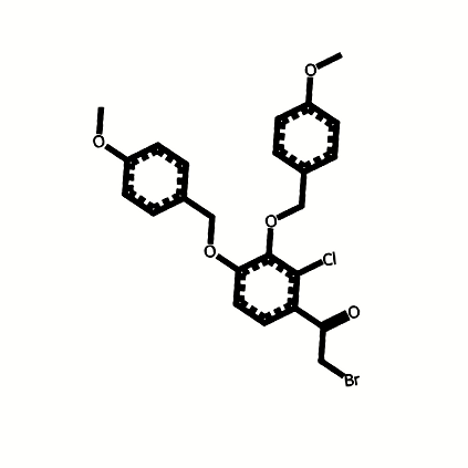 COc1ccc(COc2ccc(C(=O)CBr)c(Cl)c2OCc2ccc(OC)cc2)cc1